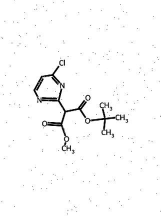 COC(=O)C(C(=O)OC(C)(C)C)c1nccc(Cl)n1